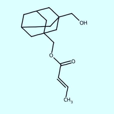 CC=CC(=O)OCC12CC3CC(CC(CO)(C3)C1)C2